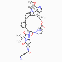 CO[C@@H](C)c1ncccc1-c1c2c3cc(ccc3n1C)-c1cccc(c1)C[C@H](NC(=O)[C@H](C(C)C)N1CCC3(CN(C(=O)C#CCN)C3)C1=O)C(=O)N1CCC[C@H](N1)C(=O)OCC(C)(C)C2